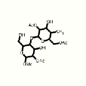 COC1OC(CO)C(OC2OC(COC(C)=O)C(C)C(O)C2OC(C)=O)C(O)C1OC(C)=O